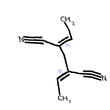 C/C=C(C#N)/C(C#N)=C/C